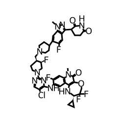 Cn1nc(C2CCC(=O)NC2=O)c2cc(F)c(C3CCN(C[C@@H]4CCN(c5ncc(Cl)c(Nc6cc7c8c(c(=O)n(C)c7cc6F)OCC(F)(F)[C@H](C6CC6)N8)n5)C[C@@H]4F)CC3)cc21